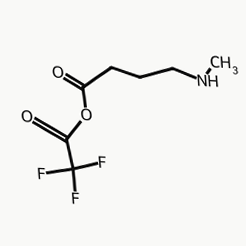 CNCCCC(=O)OC(=O)C(F)(F)F